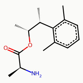 Cc1cccc(C)c1[C@@H](C)[C@@H](C)OC(=O)[C@H](C)N